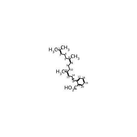 CC(C)=CCCC(C)=CCCC(C)=CCSc1ccccc1C(=O)O